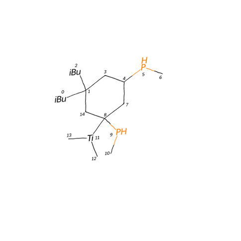 CCC(C)C1(C(C)CC)CC(PC)C[C](PC)([Ti]([CH3])[CH3])C1